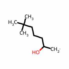 [CH2]C(O)CCCC(C)(C)C